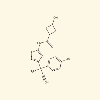 C#CC(C)(c1ccc(Br)cc1)c1csc(NC(=O)C2CC(O)C2)n1